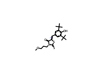 COCCCN1C(=O)/C(=C/c2cc(C(C)(C)C)c(O)c(C(C)(C)C)c2)SC1=S